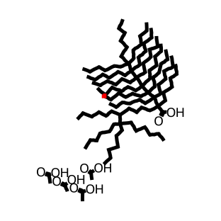 CC(=O)O.CC(=O)O.CC(=O)O.CC(=O)O.CCCCCCC(CCCCC(CCCCCC)(C(=O)O)C(CCCCCC)(CCCCCC)C(CCCCCC)(CCCCCC)C(CCCCCC)(CCCCCC)C(CCCCCC)(CCCCCC)C(CCCCCC)(CCCCCC)C(CCCCCC)(CCCCCC)CCCCCC)C(CCCCCC)(CCCCCC)CCCCCC